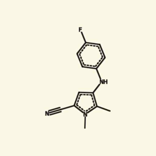 Cc1c(Nc2ccc(F)cc2)cc(C#N)n1C